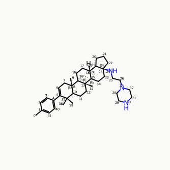 Cc1ccc(C2=CC[C@@]3(C)C(CC[C@]4(C)C3CC[C@@H]3C5CCC[C@]5(NCCN5CCNCC5)CC[C@]34C)C2(C)C)cc1